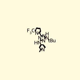 Cc1cc(Nc2nc(NC(C)(C)C)nc(-c3cccc(C(F)(F)F)n3)n2)ccn1